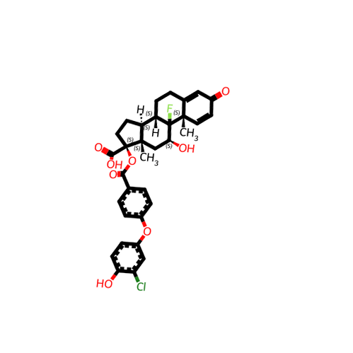 C[C@]12C=CC(=O)C=C1CC[C@H]1[C@@H]3CC[C@@](OC(=O)c4ccc(Oc5ccc(O)c(Cl)c5)cc4)(C(=O)O)[C@@]3(C)C[C@H](O)C12F